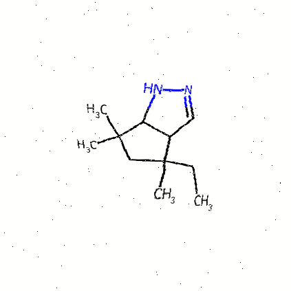 CCC1(C)CC(C)(C)C2NN=CC21